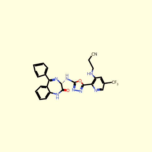 N#CCCNc1cc(C(F)(F)F)cnc1-c1nnc(N[C@H]2N=C(c3ccccc3)c3ccccc3NC2=O)o1